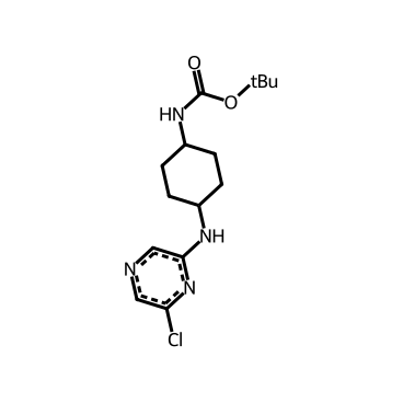 CC(C)(C)OC(=O)NC1CCC(Nc2cncc(Cl)n2)CC1